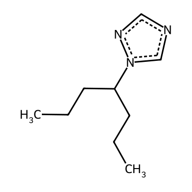 CCCC(CCC)n1cncn1